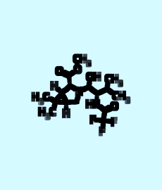 COC(=O)[C@@H]1[C@@H]2[C@H](CN1C(O)[C@@H](NC(=O)C(F)(F)F)C(C)C)C2(C)C